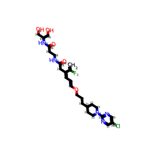 C=C(F)/C(=C\C=C\OCCCC1CCN(c2ncc(Cl)cn2)CC1)CC(=O)NCCC(=O)NC(CO)CO